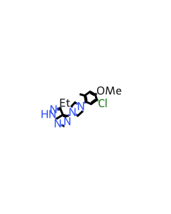 CCc1n[nH]c2ncnc(N3CCN(c4cc(Cl)c(OC)cc4C)CC3)c12